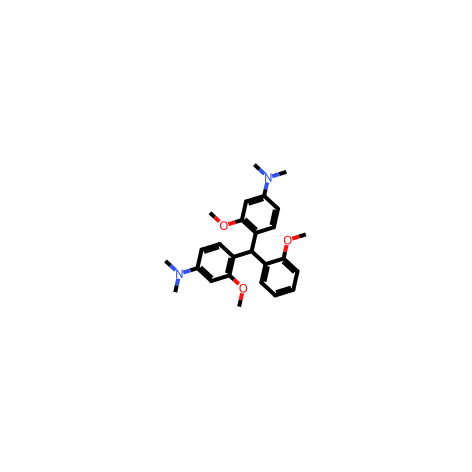 COc1ccccc1C(c1ccc(N(C)C)cc1OC)c1ccc(N(C)C)cc1OC